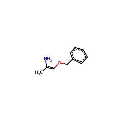 C/C(N)=C/OCc1ccccc1